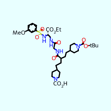 CCOC(=O)[C@H](CNC(=O)CNC(=O)C(CCC1CCN(C(=O)O)CC1)CCC1CCN(C(=O)OC(C)(C)C)CC1)NS(=O)(=O)c1cccc(OC)c1